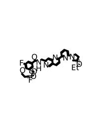 CCO[C@@H]1CCN(c2cccc(-c3ccc4cnc(CNC(=O)c5cc(F)c6c(c5)S(=O)(=O)[C@@H](F)CCO6)cc4n3)n2)C1